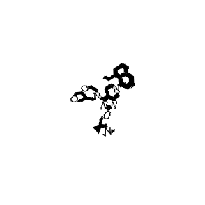 CCc1cccc2cccc(N3CCc4c(nc(OCC5(CN(C)C)CC5)nc4N4CCOC5COCC5C4)C3)c12